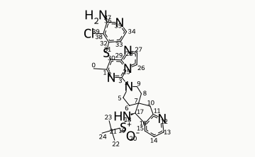 Cc1nc(N2CCC3(CC2)Cc2ncccc2[C@H]3N[S+]([O-])C(C)(C)C)n2ccnc2c1Sc1ccnc(N)c1Cl